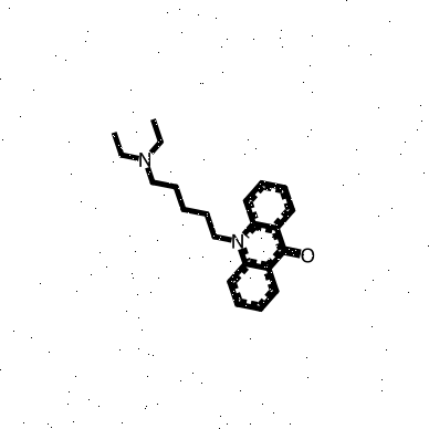 CCN(CC)CCCCCn1c2ccccc2c(=O)c2ccccc21